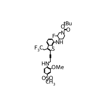 COc1cc(S(C)(=O)=O)ccc1NCC#Cc1sc2c(NC3CCN(C(=O)OC(C)(C)C)CC3F)cccc2c1CC(F)(F)F